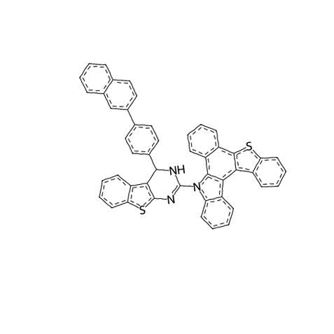 c1ccc2cc(-c3ccc(C4NC(n5c6ccccc6c6c7c8ccccc8sc7c7ccccc7c65)=Nc5sc6ccccc6c54)cc3)ccc2c1